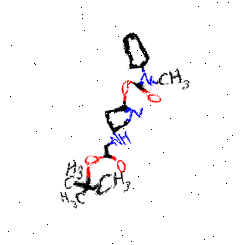 CN(C(=O)Oc1ccc(NCC(=O)OC(C)(C)C)cn1)c1ccccc1